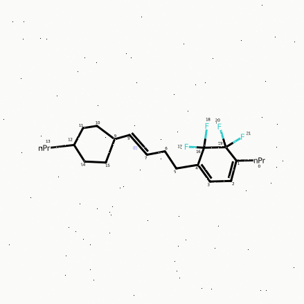 CCCC1=CC=C(CC/C=C/C2CCC(CCC)CC2)C(F)(F)C1(F)F